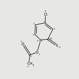 CC(=O)On1ccc(Cl)cc1=S